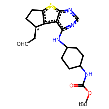 CC(C)(C)OC(=O)NC1CCC(Nc2ncnc3sc4c(c23)[C@@H](CC=O)CC4)CC1